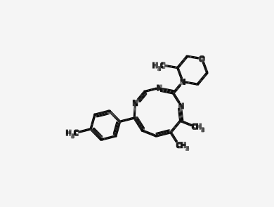 Cc1ccc(-c2ccc(C)c(C)nc(N3CCOCC3C)ncn2)cc1